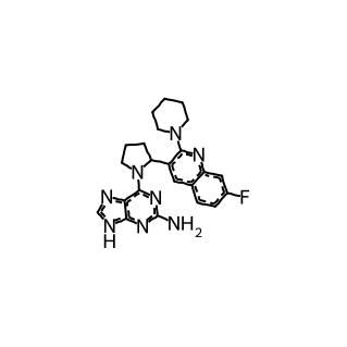 Nc1nc(N2CCCC2c2cc3ccc(F)cc3nc2N2CCCCC2)c2nc[nH]c2n1